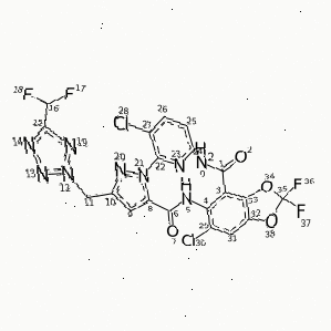 NC(=O)c1c(NC(=O)c2cc(Cn3nnc(C(F)F)n3)nn2-c2ncccc2Cl)c(Cl)cc2c1OC(F)(F)O2